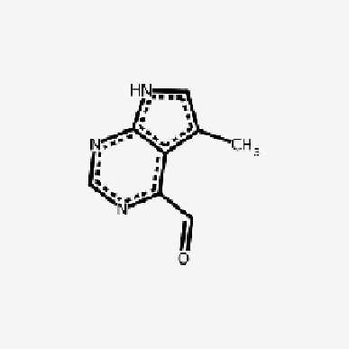 Cc1c[nH]c2ncnc(C=O)c12